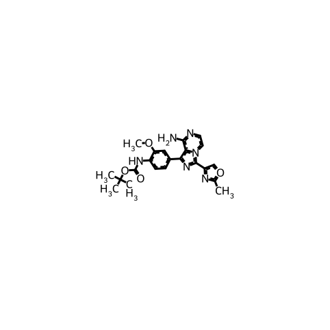 COc1cc(-c2nc(-c3coc(C)n3)n3ccnc(N)c23)ccc1NC(=O)OC(C)(C)C